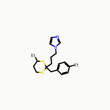 CCc1ccc(CC2(CCCn3ccnc3)SCCC(CC)S2)cc1